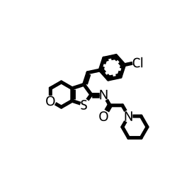 O=C(CN1CCCCC1)N=C1SC2=C(CCOC2)C1=Cc1ccc(Cl)cc1